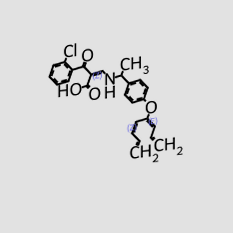 C=C/C=C\C(=C/C=C)Oc1ccc(C(C)N/C=C(\C(=O)O)C(=O)c2ccccc2Cl)cc1